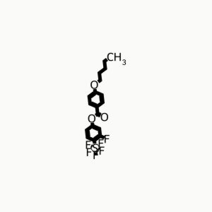 CCCCCOc1ccc(C(=O)Oc2ccc(S(F)(F)(F)(F)F)c(F)c2)cc1